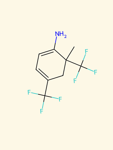 CC1(C(F)(F)F)CC(C(F)(F)F)=CC=C1N